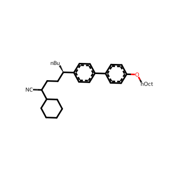 CCCCCCCCOc1ccc(-c2ccc([C@H](CCCC)CCC(C#N)C3CCCCC3)cc2)cc1